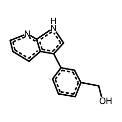 OCc1cc[c]c(-c2c[nH]c3ncccc23)c1